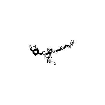 [N-]=[N+]=NCCOCCOn1cnc2c(OCc3ccc(CN)cc3)nc(N)nc21